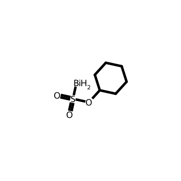 O=[S](=O)([BiH2])OC1CCCCC1